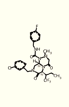 CCC(C)[C@H]1C(=O)N(Cc2cccc(Cl)c2)C[C@H]2N1C(=O)CN(C)N2C(=O)NCc1ccc(F)cc1